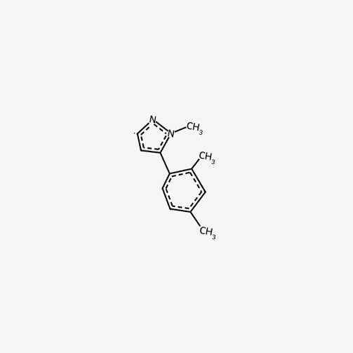 Cc1ccc(-c2c[c]nn2C)c(C)c1